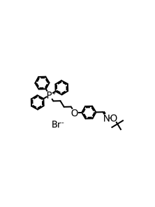 CC(C)(C)ON=Cc1ccc(OCCCC[P+](c2ccccc2)(c2ccccc2)c2ccccc2)cc1.[Br-]